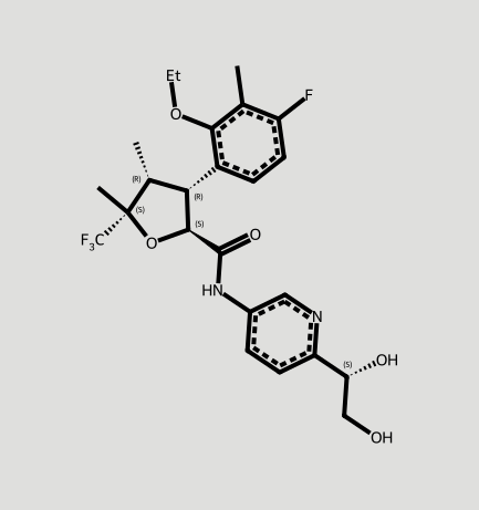 CCOc1c([C@@H]2[C@@H](C(=O)Nc3ccc([C@H](O)CO)nc3)O[C@](C)(C(F)(F)F)[C@@H]2C)ccc(F)c1C